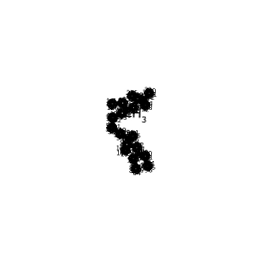 CC1(N(c2cccc(-c3ccccc3)c2)c2cccc(-c3c4ccccc4cc4c3c3ccccc3n4-c3ccccc3)c2)C=CC(c2cccc(-c3cccc(-c4ccc(-n5c6ccccc6c6c(-c7cccc(N(c8cccc(-c9ccccc9)c8)c8cccc(-c9ccccc9)c8)c7)c7ccccc7cc65)cc4)c3)c2)=CC1